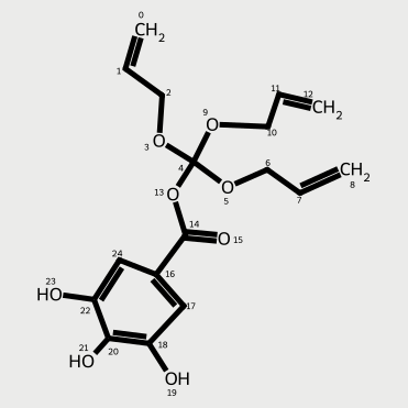 C=CCOC(OCC=C)(OCC=C)OC(=O)c1cc(O)c(O)c(O)c1